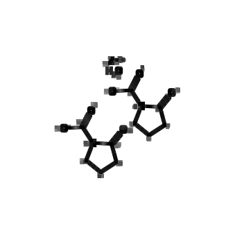 O.O=C([O-])N1CCCC1=O.O=C([O-])N1CCCC1=O.[Zn+2]